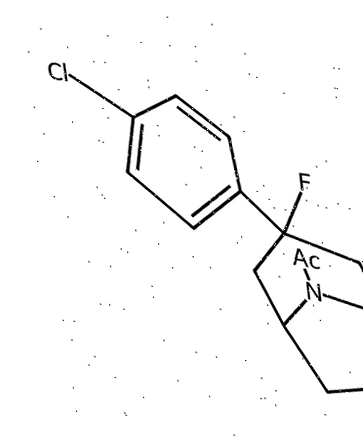 CC(=O)N1C2CCC1CC(F)(c1ccc(Cl)cc1)C2